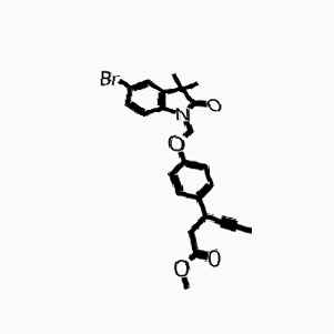 CC#CC(CC(=O)OC)c1ccc(OCN2C(=O)C(C)(C)c3cc(Br)ccc32)cc1